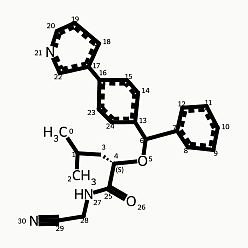 CC(C)C[C@H](OC(c1ccccc1)c1ccc(-c2cccnc2)cc1)C(=O)NCC#N